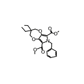 CCC1(CC)COc2c(c(C(=O)OC)n(Cc3ccccc3)c2C(=O)OC)OC1